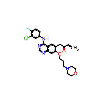 C=CC(=O)Cc1cc2c(Nc3ccc(F)c(Cl)c3)ncnc2cc1OCCCN1CCOCC1